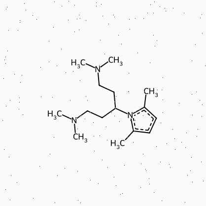 Cc1ccc(C)n1C(CCN(C)C)CCN(C)C